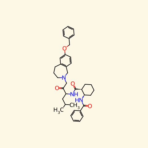 CC(C)CC(NC(=O)[C@H]1CCCC[C@H]1NC(=O)c1ccccc1)C(=O)CN1CCCc2cc(OCc3ccccc3)ccc2C1